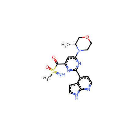 C[C@@H]1COCCN1c1cc(C(=O)[S@](C)(=N)=O)nc(-c2ccnc3[nH]ccc23)n1